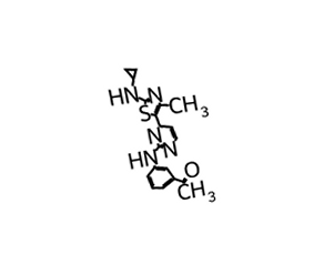 CC(=O)c1cccc(Nc2nccc(-c3sc(NC4CC4)nc3C)n2)c1